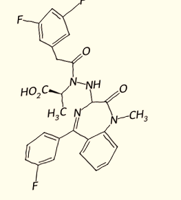 C[C@@H](C(=O)O)N(NC1N=C(c2cccc(F)c2)c2ccccc2N(C)C1=O)C(=O)Cc1cc(F)cc(F)c1